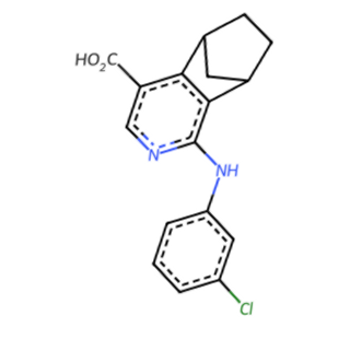 O=C(O)c1cnc(Nc2cccc(Cl)c2)c2c1C1CCC2C1